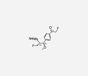 CO[C@H](c1ccc([S+]([O-])CF)cc1)[C@@H](CF)N=[N+]=[N-]